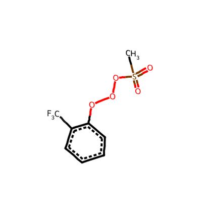 CS(=O)(=O)OOOc1ccccc1C(F)(F)F